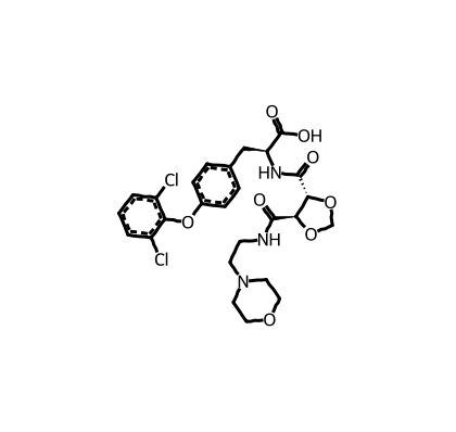 O=C(O)[C@H](Cc1ccc(Oc2c(Cl)cccc2Cl)cc1)NC(=O)[C@@H]1OCO[C@H]1C(=O)NCCN1CCOCC1